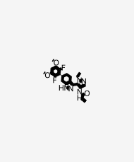 C=CC(=O)Nc1cnn(CC)c1-c1n[nH]c2c1CC[C@@H](c1c(F)c(OC)cc(OC)c1F)C2